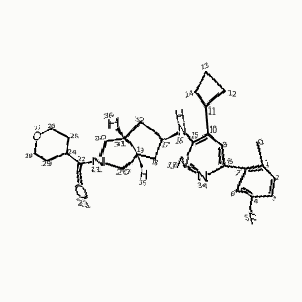 Cc1ccc(F)cc1-c1cc(C2CCC2)c(N[C@H]2C[C@@H]3CN(C(=O)C4CCOCC4)C[C@@H]3C2)nn1